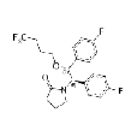 O=C1CCCN1[C@H](c1ccc(F)cc1)[C@H](OCCCC(F)(F)F)c1ccc(F)cc1